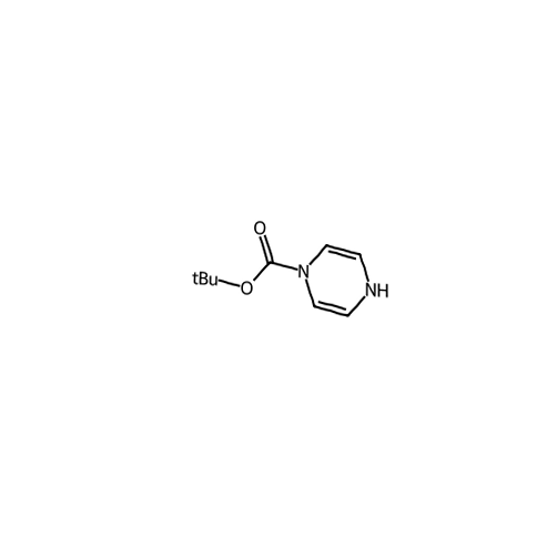 CC(C)(C)OC(=O)N1C=CNC=C1